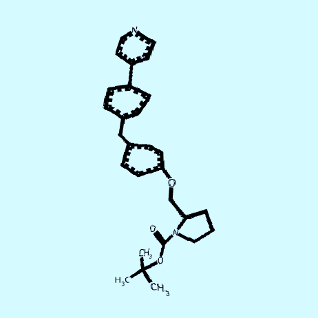 CC(C)(C)OC(=O)N1CCCC1COc1ccc(Cc2ccc(-c3ccncc3)cc2)cc1